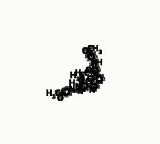 CCOc1cc(-c2nccc(-c3cccc(-c4ccc(CNC5CCN(C(C)=O)CC5)c(OC)n4)c3Cl)c2Cl)cn2nc(CNC3CCN(C(C)=O)CC3)nc12